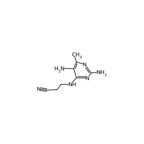 Cc1nc(N)nc(NCCC#N)c1N